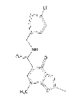 Cn1cc(C(=O)NCc2ccc(Cl)cc2)c(=O)c2cc(I)sc21